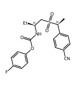 CC[C@@H](CS(=O)(=O)[C@@H](C)c1ccc(C#N)cc1)NC(=O)Oc1ccc(F)cc1